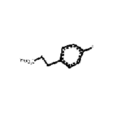 CCOC(=O)[CH]Cc1ccc(F)cc1